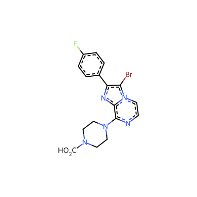 O=C(O)N1CCN(c2nccn3c(Br)c(-c4ccc(F)cc4)nc23)CC1